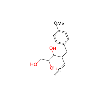 C=C=CC(Cc1ccc(OC)cc1)C(O)C(O)CO